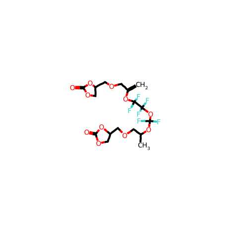 C=C(COCC1COC(=O)O1)OC(F)(F)C(F)(F)OC(F)(F)OC(C)COCC1COC(=O)O1